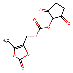 Cc1oc(=O)oc1COC(=O)OC1C(=O)CCC1=O